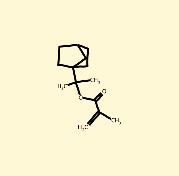 C=C(C)C(=O)OC(C)(C)C12CCC(CC1)C2